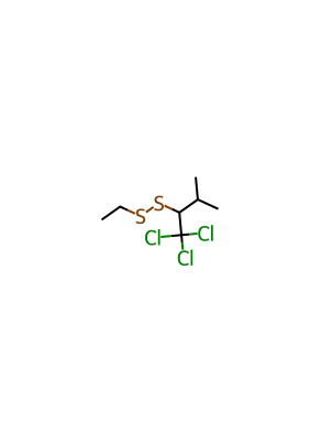 CCSSC(C(C)C)C(Cl)(Cl)Cl